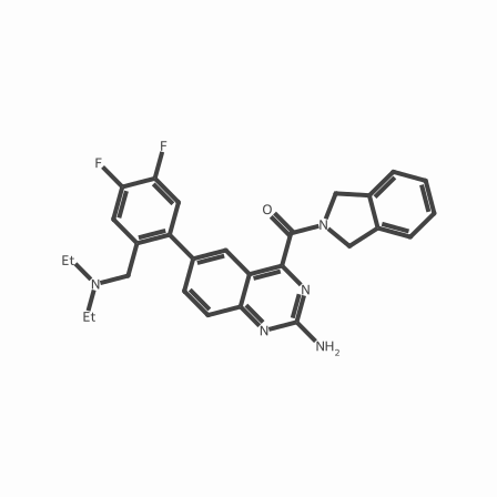 CCN(CC)Cc1cc(F)c(F)cc1-c1ccc2nc(N)nc(C(=O)N3Cc4ccccc4C3)c2c1